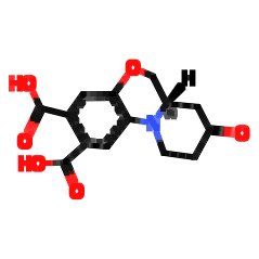 O=C1CCN2c3cc(C(=O)O)c(C(=O)O)cc3OC[C@@H]2C1